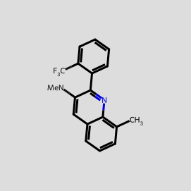 CNc1cc2cccc(C)c2nc1-c1ccccc1C(F)(F)F